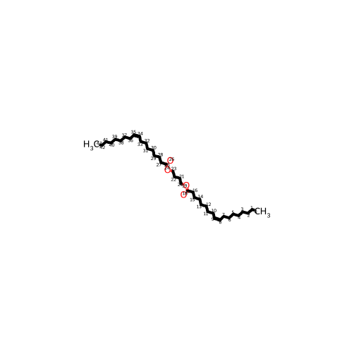 CCCCCCCC/C=C\CCCCCCCC(=O)OCCCCOC(=O)CCCCCCC/C=C\CCCCCCCC